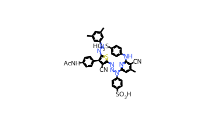 CC(=O)Nc1ccc(-c2c(N=Nc3cc(C)cc(C)c3)sc(N=NN(c3ccc(S(=O)(=O)O)cc3)c3cc(C)c(C#N)c(Nc4ccc(S(=O)(=O)O)cc4)n3)c2C#N)cc1